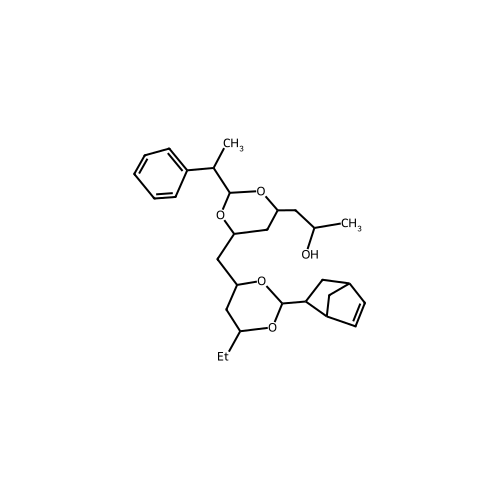 CCC1CC(CC2CC(CC(C)O)OC(C(C)c3ccccc3)O2)OC(C2CC3C=CC2C3)O1